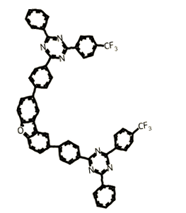 FC(F)(F)c1ccc(-c2nc(-c3ccccc3)nc(-c3ccc(-c4ccc5oc6ccc(-c7ccc(-c8nc(-c9ccccc9)nc(-c9ccc(C(F)(F)F)cc9)n8)cc7)cc6c5c4)cc3)n2)cc1